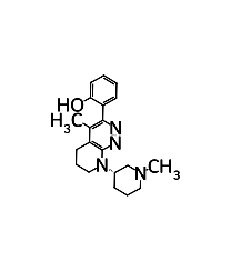 Cc1c(-c2ccccc2O)nnc2c1CCCN2[C@H]1CCCN(C)C1